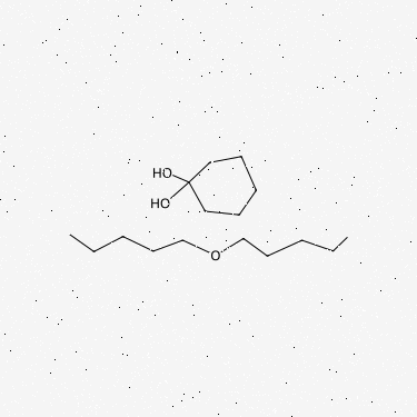 CCCCCOCCCCC.OC1(O)CCCCC1